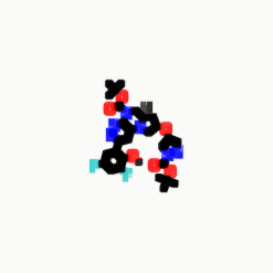 COc1c(F)cc(F)cc1-c1cc2c(nn1)N(C(=O)OC(C)(C)C)C[C@H]1C[C@@H](Oc3cnn(C(=O)OC(C)(C)C)c3)CN21